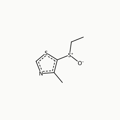 CC[S+]([O-])c1scnc1C